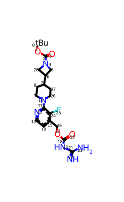 CC(C)(C)OC(=O)N1CC(C2CCN(c3nccc(COC(=O)NC(=N)N)c3F)CC2)C1